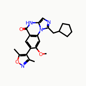 COc1cc2c(cc1-c1c(C)noc1C)c(=O)[nH]c1cnc(CC3CCCC3)n12